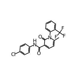 Cc1ccc(C(=O)Nc2ccc(Cl)cc2)c(=O)n1-c1ccccc1C(F)(F)F